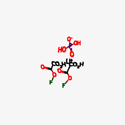 O=C(O)C(=O)OF.O=C(O)C(=O)OF.O=P([O-])(O)O.[Li+]